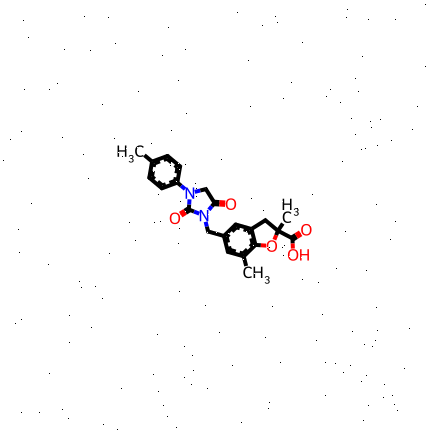 Cc1ccc(N2CC(=O)N(Cc3cc(C)c4c(c3)CC(C)(C(=O)O)O4)C2=O)cc1